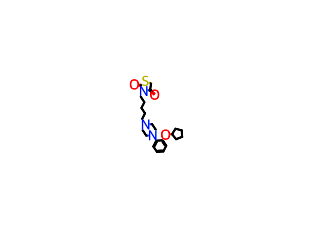 O=C1CSC(=O)N1CCCCCN1CCN(c2ccccc2OC2CCCC2)CC1